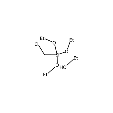 CCO.CCO[Si](CCl)(OCC)OCC